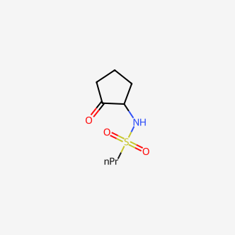 CCCS(=O)(=O)NC1CCCC1=O